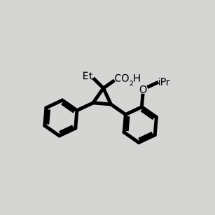 CCC1(C(=O)O)C(c2ccccc2)C1c1ccccc1OC(C)C